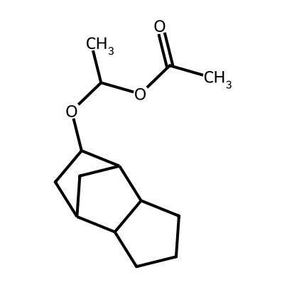 CC(=O)OC(C)OC1CC2CC1C1CCCC21